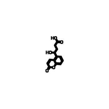 O=C(O)CCC(O)c1cccc2oc(=O)ccc12